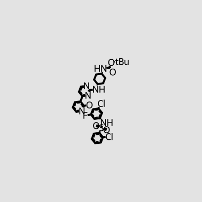 CC(C)(C)OC(=O)N[C@H]1CC[C@H](Nc2nccc(-c3cccnc3Oc3c(F)cc(NS(=O)(=O)c4ccccc4Cl)cc3Cl)n2)CC1